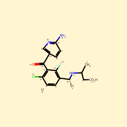 CC[C@@H](NC(C)CC(=O)O)c1ccc(Cl)c(C(=O)c2ccc(N)nc2)c1F.[Li]